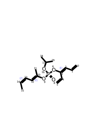 C=C/C=C(\C=C)OP(=O)(O/C(C)=C/C=C\C)OC(C)C